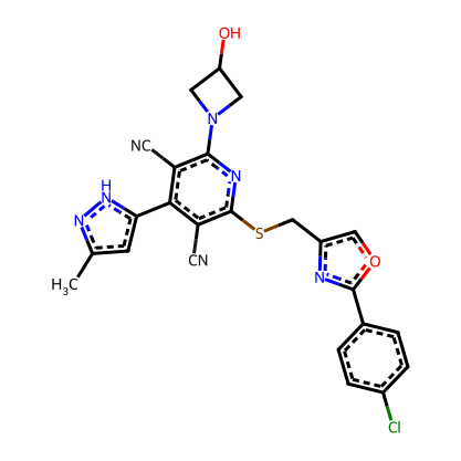 Cc1cc(-c2c(C#N)c(SCc3coc(-c4ccc(Cl)cc4)n3)nc(N3CC(O)C3)c2C#N)[nH]n1